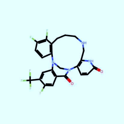 O=C1c2cc(F)c(C(F)(F)F)cc2N2CN1c1ccc(=O)[nH]c1CNCCCc1c2ccc(F)c1F